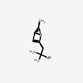 CCCC(C)(C)Cc1cc2c(C)n1-2